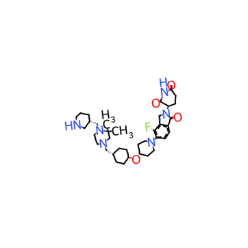 CC1(C)CN(C[C@H]2CC[C@H](OC3CCN(c4ccc5c(c4F)CN(C4CCC(=O)NC4=O)C5=O)CC3)CC2)CCN1C[C@H]1CCCNC1